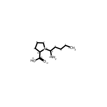 CCCCC(N)N1CCCC1C(=O)O